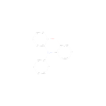 [c]1ccc2c(c1)Oc1ccccc1N2c1ccccc1